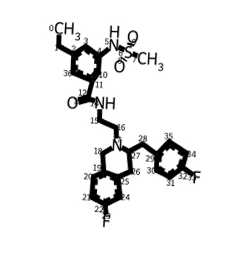 CCc1cc(NS(C)(=O)=O)cc(C(=O)NCCN2Cc3ccc(F)cc3CC2Cc2ccc(F)cc2)c1